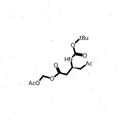 CC(=O)C[C@@H](CC(=O)OCOC(C)=O)NC(=O)OC(C)(C)C